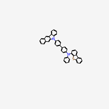 c1ccc(N(c2ccc(-c3ccc(-n4c5ccccc5c5cc6ccccc6cc54)cc3)cc2)c2cccc3c2sc2ccccc23)cc1